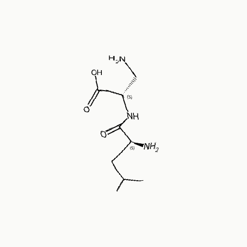 CC(C)C[C@H](N)C(=O)N[C@@H](CN)C(=O)O